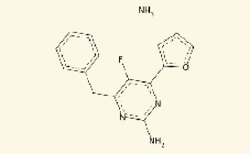 N.Nc1nc(Cc2ccccc2)c(F)c(-c2ccco2)n1